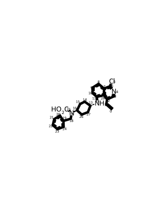 C=Cc1cnc(Cl)c2cccc(N[C@H]3CC[C@H](N(Cc4ccccc4)C(=O)O)CC3)c12